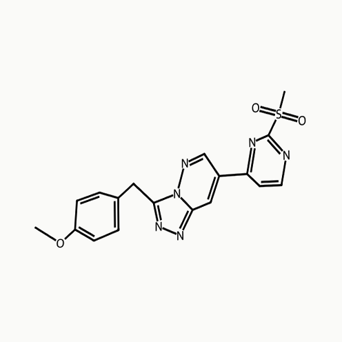 COc1ccc(Cc2nnc3cc(-c4ccnc(S(C)(=O)=O)n4)cnn23)cc1